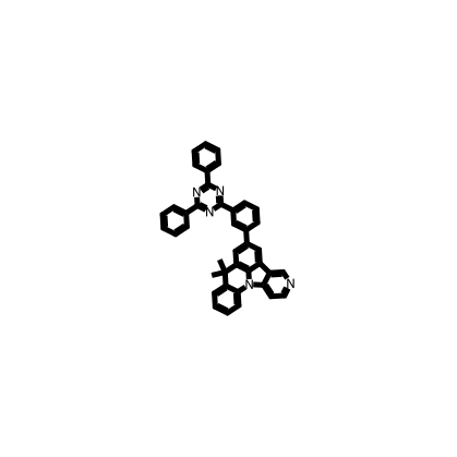 CC1(C)c2ccccc2-n2c3ccncc3c3cc(-c4cccc(-c5nc(-c6ccccc6)nc(-c6ccccc6)n5)c4)cc1c32